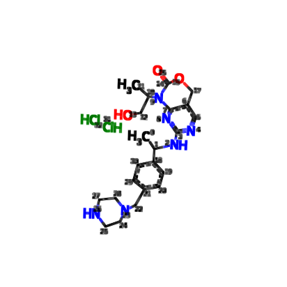 CC(Nc1ncc2c(n1)N(C(C)CO)C(=O)OC2)c1ccc(CN2CCNCC2)cc1.Cl.Cl